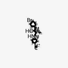 [C-]#[N+]c1ccc2[nH]c(-c3c(O)c(-c4ccc(Br)cc4)nn3C)nc2c1